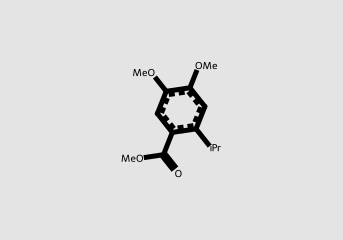 COC(=O)c1cc(OC)c(OC)cc1C(C)C